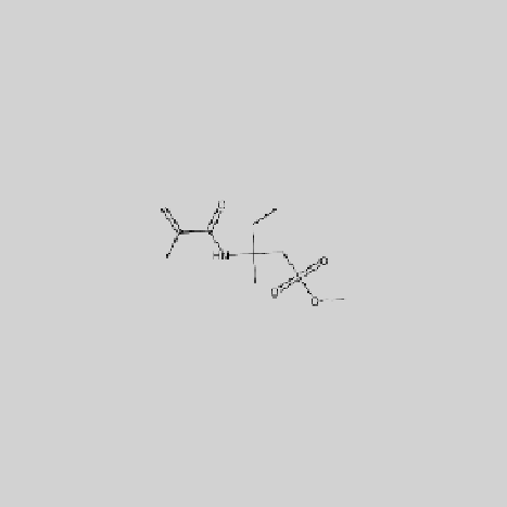 C=C(C)C(=O)NC(C)(CC)CS(=O)(=O)OC